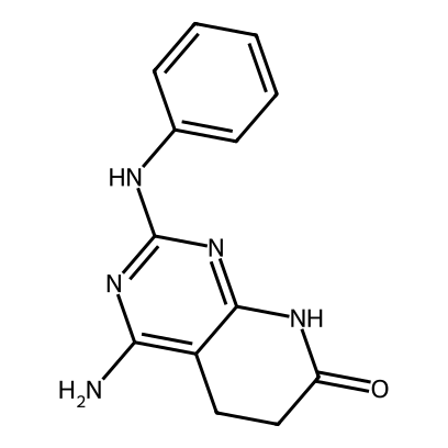 Nc1nc(Nc2ccccc2)nc2c1CCC(=O)N2